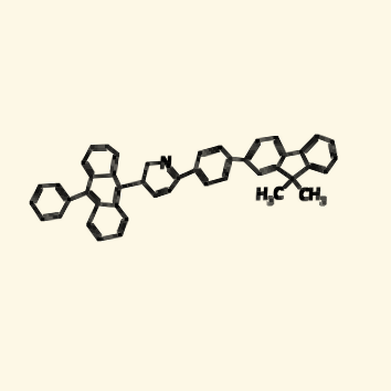 CC1(C)c2ccccc2-c2ccc(-c3ccc(C4=NCC(c5c6ccccc6c(-c6ccccc6)c6ccccc56)C=C4)cc3)cc21